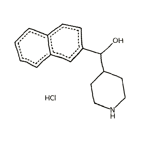 Cl.OC(c1ccc2ccccc2c1)C1CCNCC1